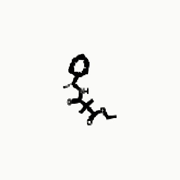 CCOC(=O)C(C)(C)C(=O)N[C@H](C)c1ccccc1